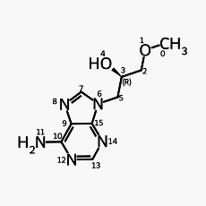 COC[C@H](O)Cn1cnc2c(N)ncnc21